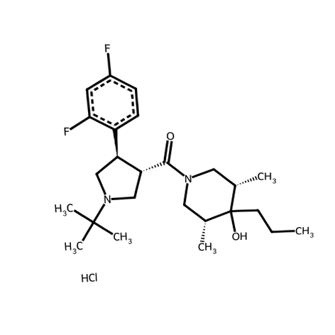 CCCC1(O)[C@H](C)CN(C(=O)[C@@H]2CN(C(C)(C)C)C[C@H]2c2ccc(F)cc2F)C[C@@H]1C.Cl